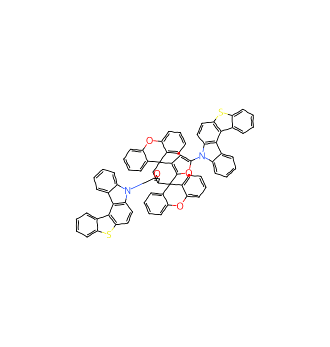 c1ccc2c(c1)Oc1ccccc1C21c2cc(-n3c4ccccc4c4c5c(ccc43)sc3ccccc35)oc2C2(c3ccccc3Oc3ccccc32)c2cc(-n3c4ccccc4c4c5c(ccc43)sc3ccccc35)oc21